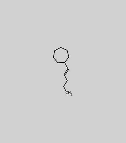 CCC/C=C/C1CCCCCC1